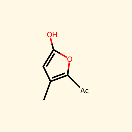 CC(=O)c1oc(O)cc1C